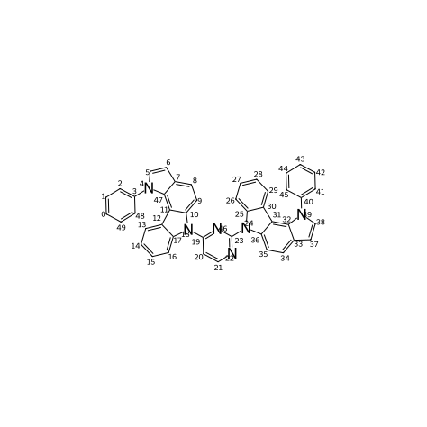 c1ccc(-n2ccc3ccc4c(c5ccccc5n4-c4ccnc(-n5c6ccccc6c6c7c(ccc65)ccn7-c5ccccc5)n4)c32)cc1